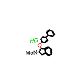 CN[C@H]1Cc2ccccc2[C@H]1Oc1ccc(-c2ccccc2)cc1.Cl